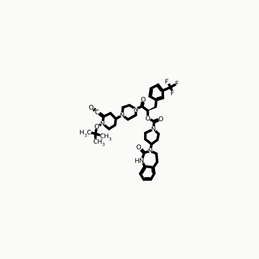 CC(C)(C)ON1CCC(N2CCN(C(=O)[C@@H](Cc3cccc(C(F)(F)F)c3)OC(=O)N3CCC(N4CCc5ccccc5NC4=O)CC3)CC2)CC1=C=O